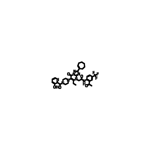 CCc1c(N2CCN(C(=O)c3ncccc3O)CC2)c(=O)n2nc(C3=CCCCCC3)nc2n1CC(=O)Nc1ccc(C(F)(F)F)cc1C(C)=O